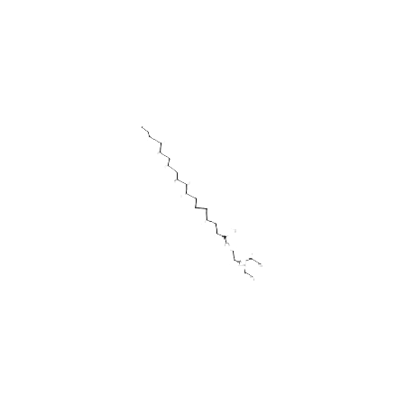 CCCCCCCCCCCCCCCCCC(=O)OCCN(CC)CC